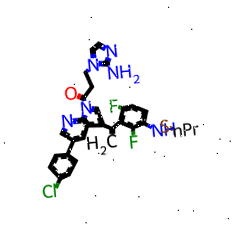 C=C(c1c(F)ccc(NSCCC)c1F)c1cn(C(=O)CCn2ccnc2N)c2ncc(-c3ccc(Cl)cc3)cc12